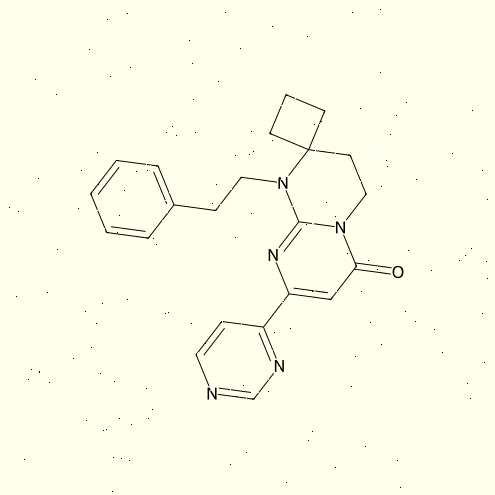 O=c1cc(-c2ccncn2)nc2n1CCC1(CCC1)N2CCc1ccccc1